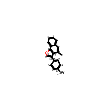 Cc1[c]c2ccccc2c2occ(-c3ccc(C(C)C)cc3)c12